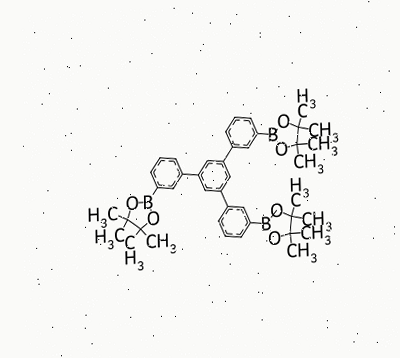 CC1(C)OB(c2cccc(-c3cc(-c4cccc(B5OC(C)(C)C(C)(C)O5)c4)cc(-c4cccc(B5OC(C)(C)C(C)(C)O5)c4)c3)c2)OC1(C)C